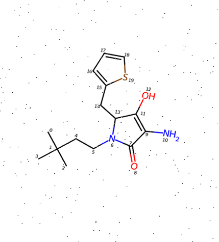 CC(C)(C)CCN1C(=O)C(N)=C(O)C1Cc1cccs1